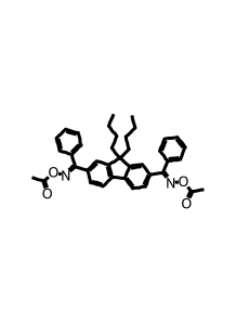 CCCCC1(CCCC)c2cc(/C(=N/OC(C)=O)c3ccccc3)ccc2-c2ccc(/C(=N/OC(C)=O)c3ccccc3)cc21